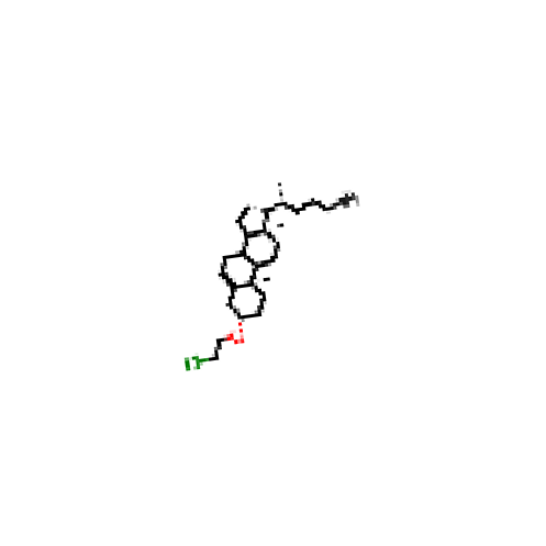 CC(C)CCC[C@@H](C)[C@H]1CCC2C3CC=C4C[C@@H](OCCCl)CC[C@]4(C)C3CC[C@@]21C